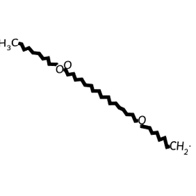 [CH2]CCCCCCCOCCCCCCCCCCCCCCCCCC(=O)OCCCCCCCCCC